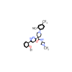 CCOc1ccccc1-c1ccc(C2(C(=O)NC3CN(C)C3)CCN(c3ccc(C(F)(F)F)cc3C#N)CC2)nn1